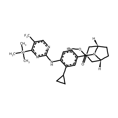 CC(C)(C)OC(=O)N1[C@@H]2CC[C@H]1CN(c1ccc(Nc3ncc(C(F)(F)F)[c]([Sn]([CH3])([CH3])[CH3])n3)c(C3CC3)c1)C2